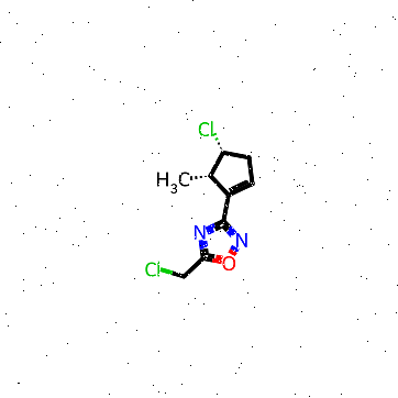 C[C@H]1C(c2noc(CCl)n2)=CC[C@H]1Cl